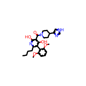 CCCCc1nc(O)c(C(=O)N2CCC(c3c[nH]cn3)CC2)c(O)c1-c1c(OC)cccc1OC